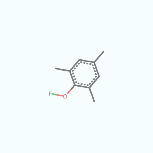 Cc1cc(C)c(OF)c(C)c1